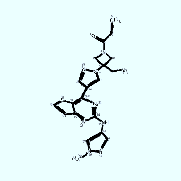 CCC(=O)N1CC(CN)(n2cc(-c3nc(Nc4cnn(C)c4)nc4ccsc34)cn2)C1